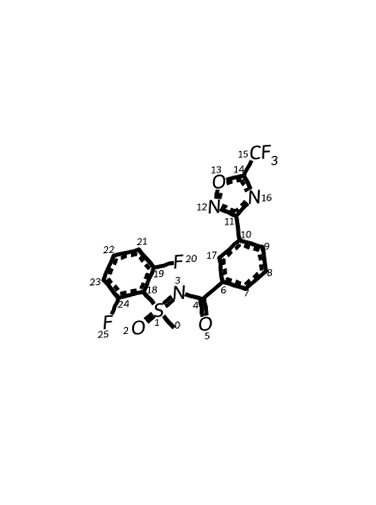 CS(=O)(=NC(=O)c1cccc(-c2noc(C(F)(F)F)n2)c1)c1c(F)cccc1F